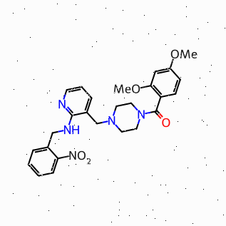 COc1ccc(C(=O)N2CCN(Cc3cccnc3NCc3ccccc3[N+](=O)[O-])CC2)c(OC)c1